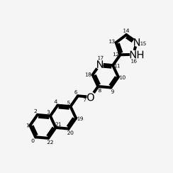 c1ccc2cc(COc3ccc(-c4ccn[nH]4)nc3)ccc2c1